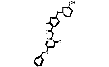 Cc1cc(CN2CCC[C@H](O)C2)ccc1C(=O)Cn1ncc(OCc2ccccc2)cc1=O